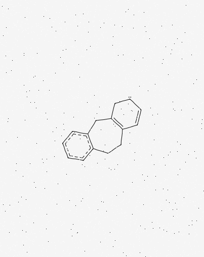 [C]1C=CC2=C(C1)Cc1ccccc1CC2